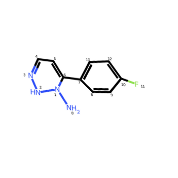 NN1NN=CC=C1c1ccc(F)cc1